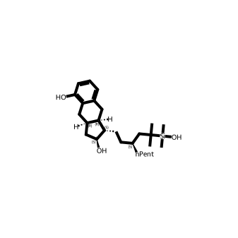 CCCCC[C@@H](CC[C@H]1[C@@H]2Cc3cccc(O)c3C[C@@H]2C[C@@H]1O)CC(C)(C)[Si](C)(C)O